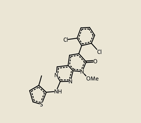 COn1c(=O)c(-c2c(Cl)cccc2Cl)cc2cnc(Nc3sccc3C)nc21